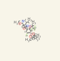 COc1ncc(C)c(NC(=O)c2cc(F)c(B3OC(C)(C)C(C)(C)O3)cc2OC(C)C(F)(F)F)c1C